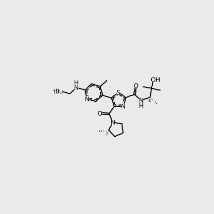 Cc1cc(NCC(C)(C)C)ncc1-c1sc(C(=O)N[C@@H](C)C(C)(C)O)nc1C(=O)N1CCC[C@@H]1C